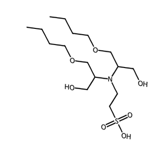 CCCCOCC(CO)N(CCS(=O)(=O)O)C(CO)COCCCC